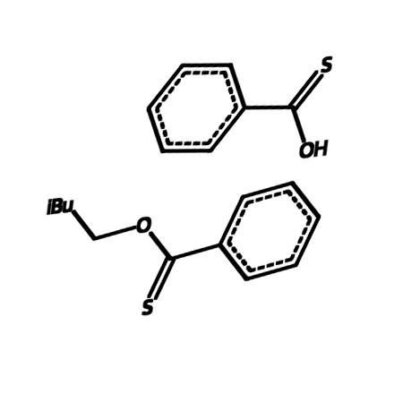 CCC(C)COC(=S)c1ccccc1.OC(=S)c1ccccc1